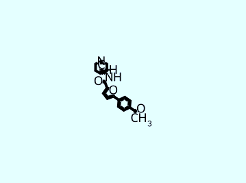 CC(=O)c1ccc(-c2ccc(C(=O)N[C@H]3CN4CCC3CC4)o2)cc1